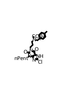 CCCCCn1c(=O)n(CCCN(Cc2ccc(C)cc2)C(=O)O)c(=O)c2[nH]c(Cl)nc21